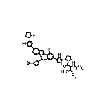 COC(=O)N[C@H](C(=O)N1CCC[C@H]1c1ncc(-c2cc(F)c3c(c2)OC(c2ccc(C4CC4)s2)n2c-3cc3cc(-c4c[nH]c([C@@H]5CCCN5)n4)ccc32)[nH]1)C(C)C